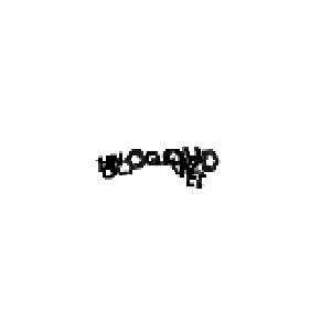 CCN(CC(O)COc1ccc2[nH]c(=O)ccc2c1)C(C)c1ccccc1